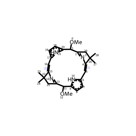 COC1C2=N/C(=C\c3ccc([nH]3)C(OC)C3=N/C(=C\c4ccc1[nH]4)C(C)(C)C3)C(C)(C)C2